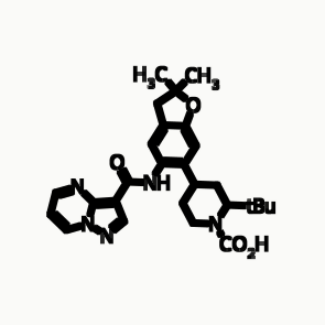 CC1(C)Cc2cc(NC(=O)c3cnn4cccnc34)c(C3CCN(C(=O)O)C(C(C)(C)C)C3)cc2O1